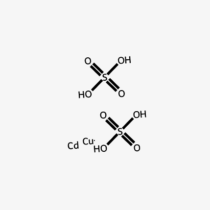 O=S(=O)(O)O.O=S(=O)(O)O.[Cd].[Cu]